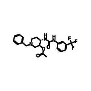 CC(=O)O[C@H]1CN(Cc2ccccc2)CC[C@@H]1NC(=O)Nc1cccc(C(F)(F)F)c1